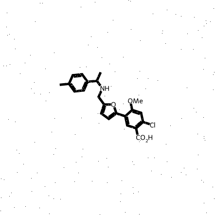 COc1cc(Cl)c(C(=O)O)cc1-c1ccc(CNC(C)c2ccc(C)cc2)o1